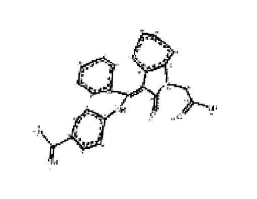 N=C(N)c1ccc(N/C(=C2\C(=O)N(CC(=O)O)c3ccccc32)c2ccccc2)cc1